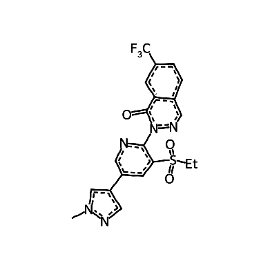 CCS(=O)(=O)c1cc(-c2cnn(C)c2)cnc1-n1ncc2ccc(C(F)(F)F)cc2c1=O